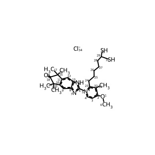 COc1cc[n+](-c2nc3cc4c(cc3[nH]2)C(C)(C)C(=O)C4(C)C)c(CCCCCC(S)S)c1C.[Cl-]